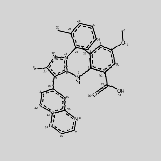 COc1cc(C)c(Nc2c(-c3cnc4nccnc4c3)c(C)nn2-c2ccccc2C)c(C(=O)O)c1